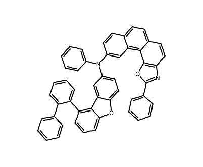 c1ccc(-c2nc3ccc4ccc5ccc(N(c6ccccc6)c6ccc7oc8cccc(-c9ccccc9-c9ccccc9)c8c7c6)cc5c4c3o2)cc1